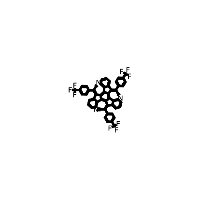 N#C/C(=C1/c2ccccc2-c2c1c1c(c3c2/C(=C(\C#N)c2ccc(C(F)(F)F)cc2)c2ccccc2-3)/C(=C(\C#N)c2ccc(C(F)(F)F)cc2)c2ccccc2-1)c1ccc(C(F)(F)F)cc1